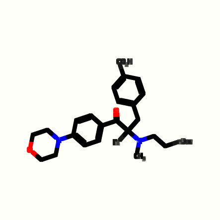 CCCCCCCCCCCCN(C)C(CC)(Cc1ccc(C(=O)O)cc1)C(=O)c1ccc(N2CCOCC2)cc1